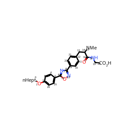 CCCCCCCOc1ccc(-c2nc(-c3ccc(CC(NC)C(=O)NCC(=O)O)cc3)no2)cc1